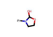 CC(C)N1CCOC1O